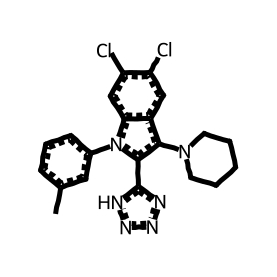 Cc1cccc(-n2c(-c3nnn[nH]3)c(N3CCCCC3)c3cc(Cl)c(Cl)cc32)c1